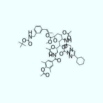 COC(=O)[C@@]1(C/C=C/c2cccc(CNC(=O)OC(C)(C)C)c2)C[C@H](OC(C)=O)[C@@H](NC(=O)Cn2cc(C3CCCCC3)nn2)[C@H]([C@H](OC(C)=O)[C@@H](CNC(=O)c2cc(C)c(OC(C)=O)c(C)c2)OC(C)=O)O1